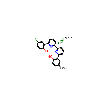 COc1ccc(O)c(-c2cccc(-c3cccc(-c4cc(F)ccc4O)n3)n2)c1.[Cl-].[Cl-].[Cl-].[Mn+3]